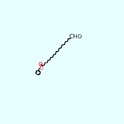 O=CCCCCCCCCCCCCCCCCCCCC(=O)OCc1ccccc1